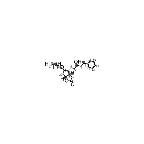 O=C1C[C@@H]2[C@@H](CC[C@@H](O)CCc3ccccc3)[C@H](OPBP)C[C@@H]2O1